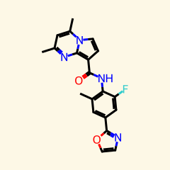 Cc1cc(C)n2ccc(C(=O)Nc3c(C)cc(-c4ncco4)cc3F)c2n1